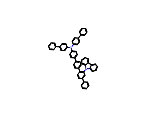 c1ccc(-c2ccc(N(c3ccc(-c4ccccc4)cc3)c3ccc(-c4ccc(-c5ccc(-c6ccccc6)cc5-n5c6ccccc6c6ccccc65)cc4)cc3)cc2)cc1